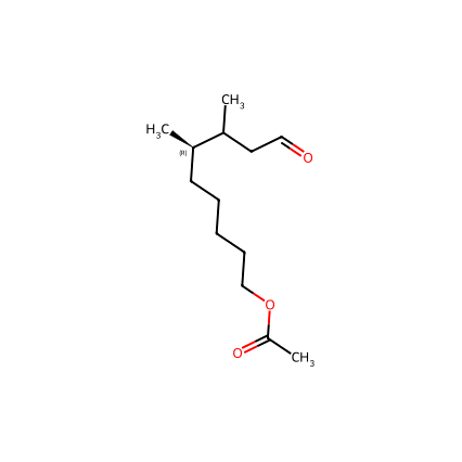 CC(=O)OCCCCC[C@@H](C)C(C)CC=O